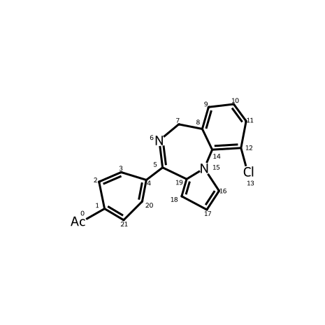 CC(=O)c1ccc(C2=NCc3cccc(Cl)c3-n3cccc32)cc1